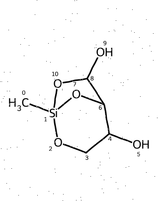 C[Si]12OCC(O)C(O1)C(O)O2